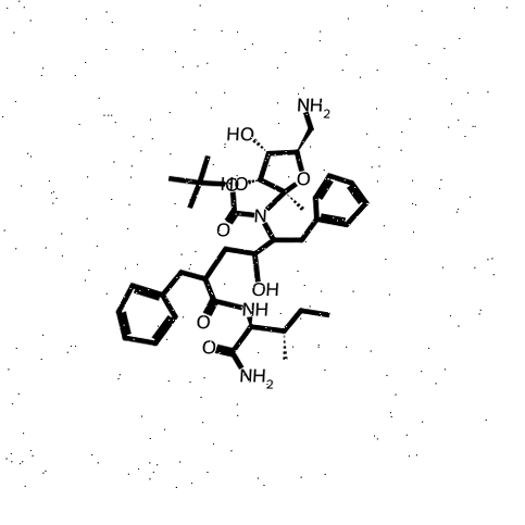 CC[C@H](C)[C@H](NC(=O)C(Cc1ccccc1)CC(O)C(Cc1ccccc1)N(C(=O)OC(C)(C)C)[C@]1(C)O[C@H](CN)[C@@H](O)[C@H]1O)C(N)=O